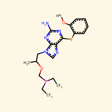 CCCOc1ccccc1Sc1nc(N)nc2c1ncn2CC(C)OCP(CC(F)(F)F)CC(F)(F)F